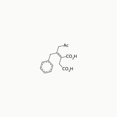 CC(=O)CC(Cc1ccccc1)=C(CC(=O)O)C(=O)O